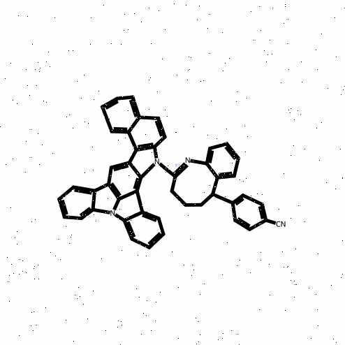 N#Cc1ccc(C2CCC/C(n3c4ccc5ccccc5c4c4cc5c6ccccc6n6c7ccccc7c(c43)c56)=N\c3ccccc32)cc1